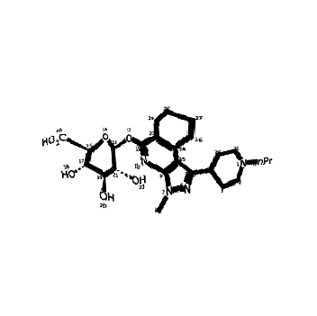 CCCN1CCC(c2nn(C)c3nc(O[C@@H]4O[C@H](C(=O)O)[C@@H](O)[C@H](O)[C@H]4O)c4c(c23)CCCC4)CC1